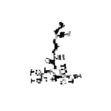 CCCNCCCNC(=O)CN(C[PH](O)(O)O)C[PH](O)(O)O